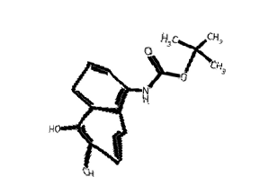 Cc1ccc2c(NC(=O)OC(C)(C)C)cccc2c1O